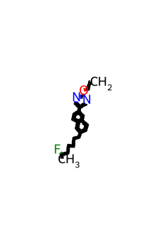 C=CCOc1ncc(-c2ccc3cc(CCCCCC(C)F)ccc3c2)cn1